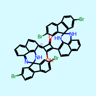 O=C1C(c2ccc3cccc4c3c2NC2(N4)c3cc(Br)ccc3-c3ccc(Br)cc32)=C(O)/C1=c1/ccc2cccc3c2c1NC1(N=3)c2cc(Br)ccc2-c2ccc(Br)cc21